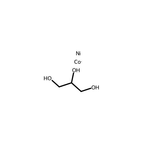 OCC(O)CO.[Co].[Ni]